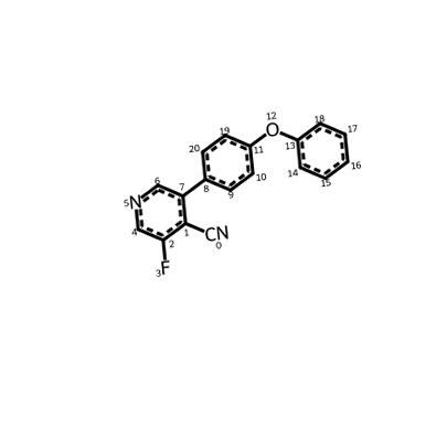 N#Cc1c(F)cncc1-c1ccc(Oc2ccccc2)cc1